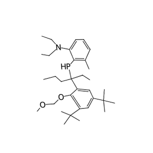 CCCC(CC)(Pc1c(C)cccc1N(CC)CC)c1cc(C(C)(C)C)cc(C(C)(C)C)c1OCOC